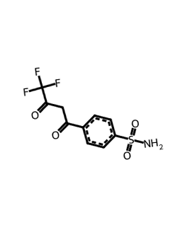 NS(=O)(=O)c1ccc(C(=O)CC(=O)C(F)(F)F)cc1